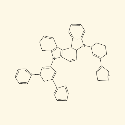 C1=Cc2c3c(n(C4=CC(c5ccccc5)CC(c5ccccc5)=C4)c2CC1)C=CC1C3c2ccccc2N1C1C=C(C2=CCCCC2)CCC1